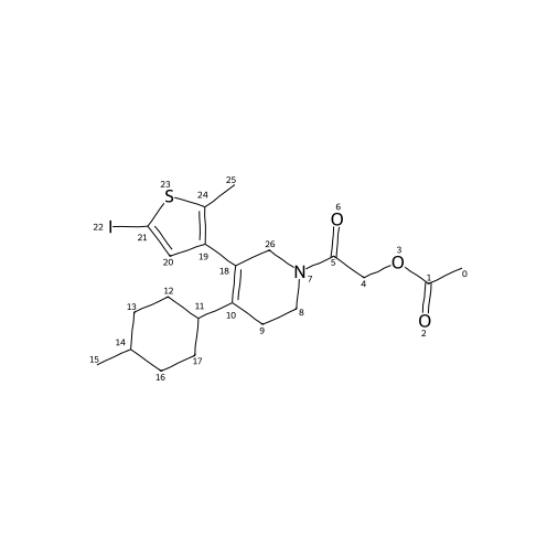 CC(=O)OCC(=O)N1CCC(C2CCC(C)CC2)=C(c2cc(I)sc2C)C1